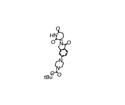 CC(C)(C)OC(=O)N1CCN(c2ccc3c(c2)CN([C@H]2CCC(=O)NC2=O)C3=O)CC1